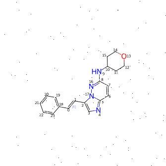 C(=C\c1cnc2ccc(NC3CCOCC3)nn12)/c1ccccc1